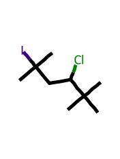 CC(C)(I)CC(Cl)C(C)(C)C